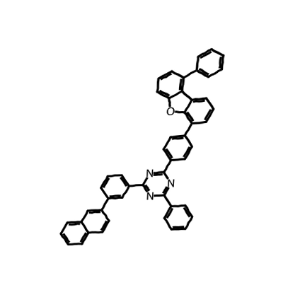 c1ccc(-c2nc(-c3ccc(-c4cccc5c4oc4cccc(-c6ccccc6)c45)cc3)nc(-c3cccc(-c4ccc5ccccc5c4)c3)n2)cc1